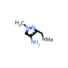 CNCc1nn(C)cc1N